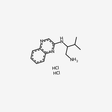 CC(C)C(CN)Nc1cnc2ccccc2n1.Cl.Cl